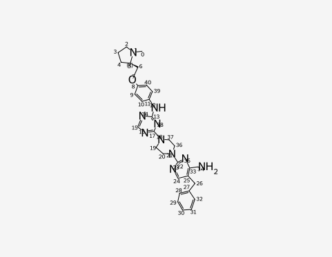 CN1CCC[C@@H]1COc1ccc(Nc2ncnc(N3CCN(c4ncc(Cc5ccccc5)c(N)n4)CC3)n2)cc1